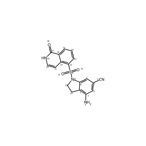 N#Cc1cc(N)c2c(c1)N(S(=O)(=O)c1cccc3c(=O)[nH]ccc13)CC2